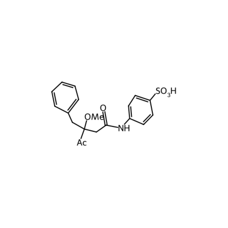 COC(CC(=O)Nc1ccc(S(=O)(=O)O)cc1)(Cc1ccccc1)C(C)=O